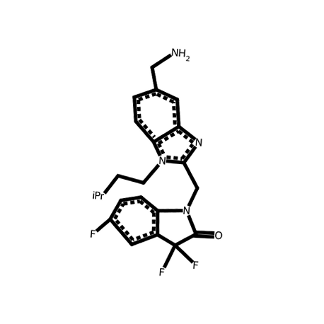 CC(C)CCn1c(CN2C(=O)C(F)(F)c3cc(F)ccc32)nc2cc(CN)ccc21